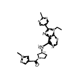 CCn1c(-c2cnc(C)nc2)nc2c(N[C@H]3CCN(C(=O)c4cnn(C)c4)C3)ncnc21